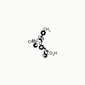 Cc1ccc(-c2nc(COC3CCCC(CN(CC(=O)O)Cc4cccs4)C3)c(C)o2)cc1.O=Cc1cccs1